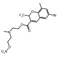 Cc1cc(Br)cc2c1OC(C(F)(F)F)C(C(=O)OCCN(C)CCO[N+](=O)[O-])=C2